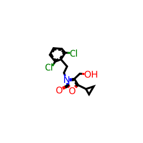 O=c1oc(C2CC2)c(CO)n1CCc1c(Cl)cccc1Cl